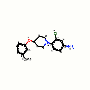 COc1cccc(OC2CCN(c3ccc(N)cc3Cl)CC2)c1